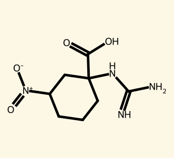 N=C(N)NC1(C(=O)O)CCCC([N+](=O)[O-])C1